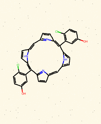 Oc1ccc(Cl)c(-c2c3nc(cc4ccc([nH]4)c(-c4cc(O)ccc4Cl)c4nc(cc5ccc2[nH]5)C=C4)C=C3)c1